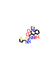 CCn1c(=O)c(C(=O)Nc2nnc(-c3cccs3)s2)c(O)c2ccccc21